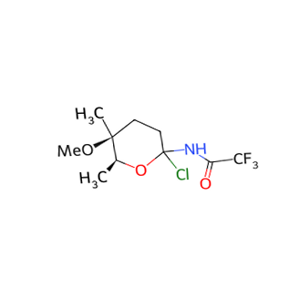 CO[C@@]1(C)CCC(Cl)(NC(=O)C(F)(F)F)O[C@H]1C